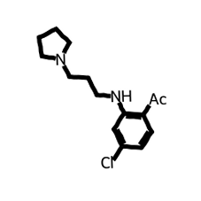 CC(=O)c1ccc(Cl)cc1NCCCN1CCCC1